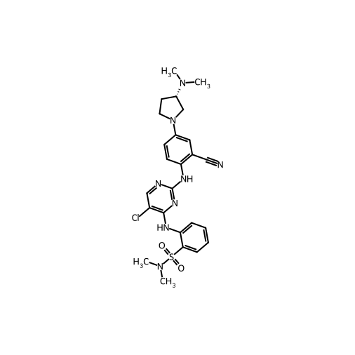 CN(C)[C@H]1CCN(c2ccc(Nc3ncc(Cl)c(Nc4ccccc4S(=O)(=O)N(C)C)n3)c(C#N)c2)C1